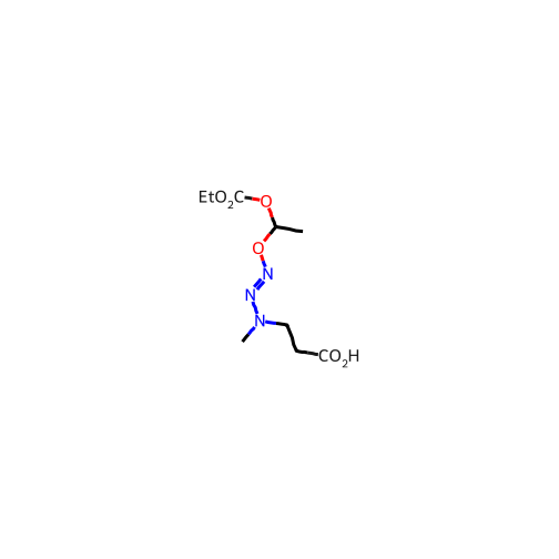 CCOC(=O)OC(C)ON=NN(C)CCC(=O)O